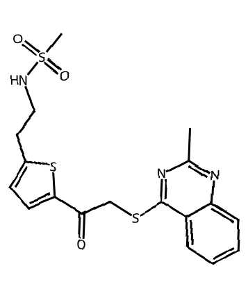 Cc1nc(SCC(=O)c2ccc(CCNS(C)(=O)=O)s2)c2ccccc2n1